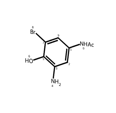 CC(=O)Nc1cc(N)c(O)c(Br)c1